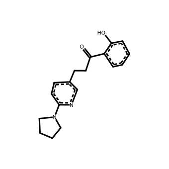 O=C(CCc1ccc(N2CCCC2)nc1)c1ccccc1O